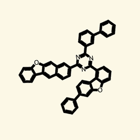 c1ccc(-c2cccc(-c3nc(-c4ccc5cc6c(cc5c4)oc4ccccc46)nc(-c4cccc5oc6cc(-c7ccccc7)ccc6c45)n3)c2)cc1